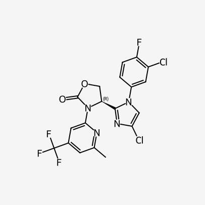 Cc1cc(C(F)(F)F)cc(N2C(=O)OC[C@H]2c2nc(Cl)cn2-c2ccc(F)c(Cl)c2)n1